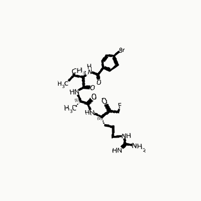 CC(C)C(NC(=O)c1ccc(Br)cc1)C(=O)N[C@@H](C)C(=O)N[C@@H](CCCNC(=N)N)C(=O)CF